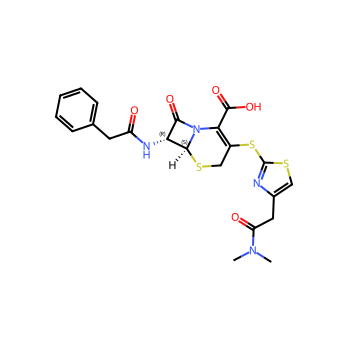 CN(C)C(=O)Cc1csc(SC2=C(C(=O)O)N3C(=O)[C@@H](NC(=O)Cc4ccccc4)[C@@H]3SC2)n1